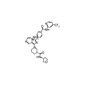 N[N+]12C=CN=CC1=C(N1CCCC(C(=O)N[C@H]3CCOC3)C1)N=C2c1ccc(C(=O)Nc2cc(C(F)(F)F)ccn2)cc1